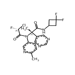 Cc1ccc(N(C(=O)[C@H](F)Cl)[C@](C)(C(=O)NC2CC(F)(F)C2)c2cncnc2)cn1